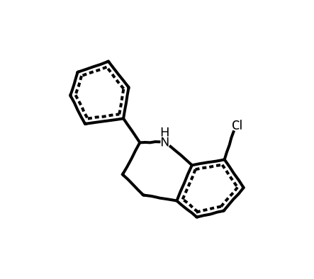 Clc1cccc2c1NC(c1ccccc1)CC2